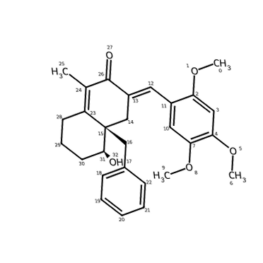 COc1cc(OC)c(OC)cc1C=C1C[C@@]2(Cc3ccccc3)C(=C(C)C1=O)CCC[C@@H]2O